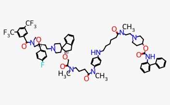 CN(CCN1CCC(OC(=O)Nc2ccccc2-c2ccccc2)CC1)C(=O)CCCCCNc1ccc(N(C)C(=O)CCCN(C)C(=O)CO[C@H]2Cc3ccccc3C23CCN(CC[C@@]2(c4ccc(F)cc4)CN(C(=O)c4cc(C(F)(F)F)cc(C(F)(F)F)c4)CO2)CC3)cc1